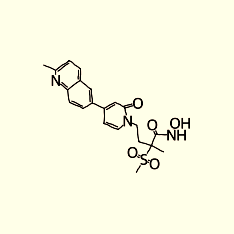 Cc1ccc2cc(-c3ccn(CCC(C)(C(=O)NO)S(C)(=O)=O)c(=O)c3)ccc2n1